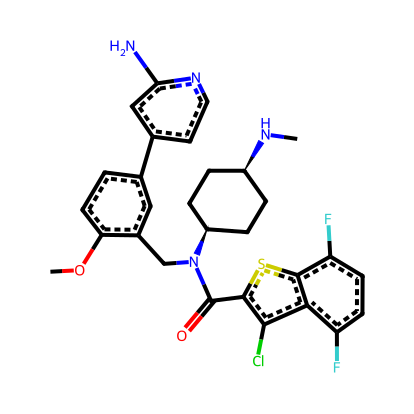 CN[C@H]1CC[C@@H](N(Cc2cc(-c3ccnc(N)c3)ccc2OC)C(=O)c2sc3c(F)ccc(F)c3c2Cl)CC1